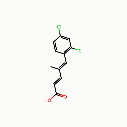 CC(/C=C/C(=O)O)=C\c1ccc(Cl)cc1Cl